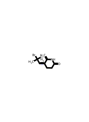 C=C1NC(=O)CC/C1=C/C(C)(C)Br